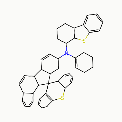 C1=CC2C=CC3C4C=CC(N(C5=CCCCC5)C5CCCC6c7ccccc7SC65)CC4C4(C5=C(CCC=C5)SC5C=CC=CC54)C3C2C=C1